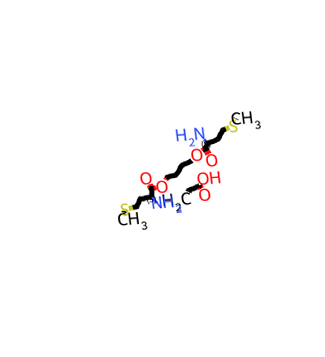 C=CC(=O)O.CSCC[C@H](N)C(=O)OCCCCOC(=O)[C@@H](N)CCSC